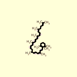 CC(C)=CCC\C(C)=C/C=C\C(C)=C\C=C\C(C)=C\C=C/CC(C)/C=C/C=C(C)\C=C\C1=C(C)CCCC1(C)C